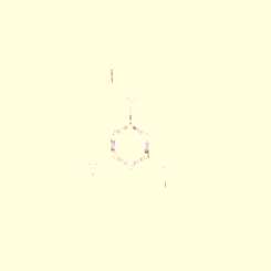 CCON(C)c1nc(N(C)C)nc(N(C)C)n1